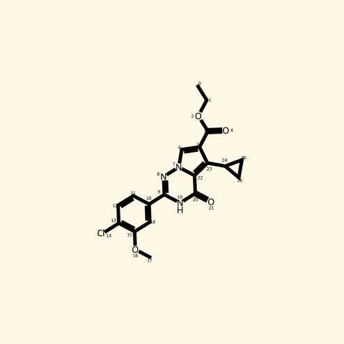 CCOC(=O)c1cn2nc(-c3ccc(Cl)c(OC)c3)[nH]c(=O)c2c1C1CC1